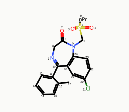 CCCS(=O)(=O)CN1C(=O)CN=C(c2ccccc2C)c2cc(Cl)ccc21